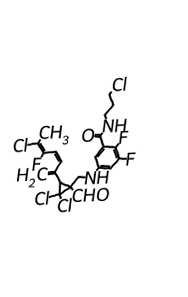 C=C(/C=C\C(F)=C(/C)Cl)C1C(Cl)(Cl)C1(C=O)CNc1cc(F)c(F)c(C(=O)NCCCCl)c1